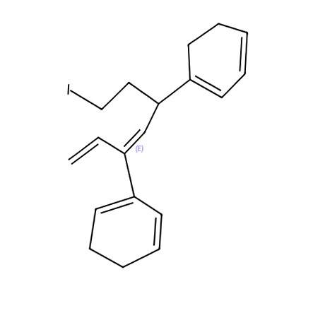 C=C/C(=C\C(CCI)C1=CC=CCC1)C1=CCCC=C1